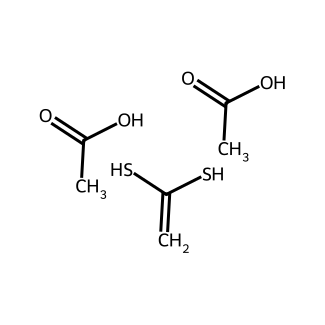 C=C(S)S.CC(=O)O.CC(=O)O